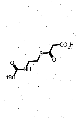 CC(C)(C)C(=O)NCCSC(=O)CC(=O)O